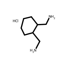 Cl.NCC1CCCCC1CN